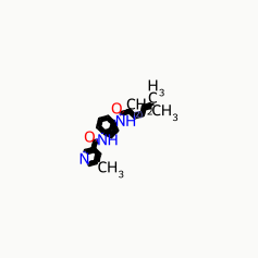 C=C(/C=C\C=C(C)C)C(=O)NC12CCCC(NC(=O)c3cncc(C)c3)(CC1)C2